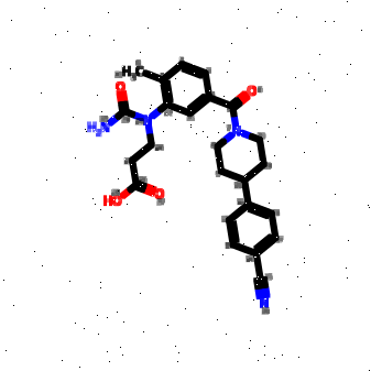 Cc1ccc(C(=O)N2CCC(c3ccc(C#N)cc3)CC2)cc1N(CCC(=O)O)C(N)=O